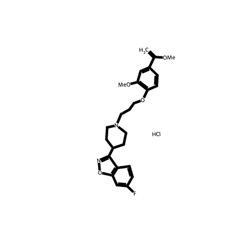 C=C(OC)c1ccc(OCCCN2CCC(c3noc4cc(F)ccc34)CC2)c(OC)c1.Cl